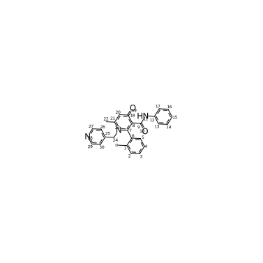 Cc1ccccc1-c1c(C(=O)Nc2ccccc2)c(=O)cc(C)n1Cc1ccncc1